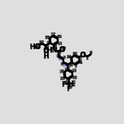 CCOc1ccc(/C(=C\C=C\C(=O)Nc2ccccc2C(O)CO)c2ccc(C(F)(F)F)cc2)cc1